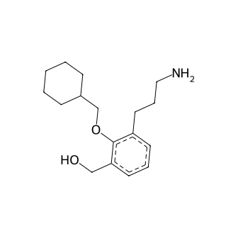 NCCCc1cccc(CO)c1OCC1CCCCC1